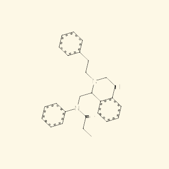 CCC(=O)N(CC1c2ccccc2CCN1CCc1ccccc1)c1ccccc1.Cl